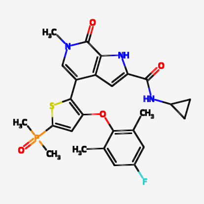 Cc1cc(F)cc(C)c1Oc1cc(P(C)(C)=O)sc1-c1cn(C)c(=O)c2[nH]c(C(=O)NC3CC3)cc12